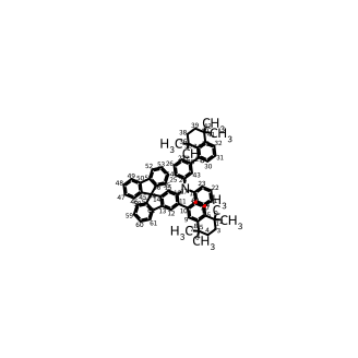 CC1(C)CCC(C)(C)c2cc(-c3cc4c(cc3N(c3ccccc3)c3cccc(-c5cccc6c5C(C)(C)CCC6(C)C)c3)C3(c5ccccc5-c5ccccc53)c3ccccc3-4)ccc21